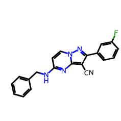 N#Cc1c(-c2cccc(F)c2)nn2ccc(NCc3ccccc3)nc12